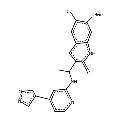 COc1cc2[nH]c(=O)c(C(C)Nc3cc(-c4cnoc4)ccn3)cc2cc1Cl